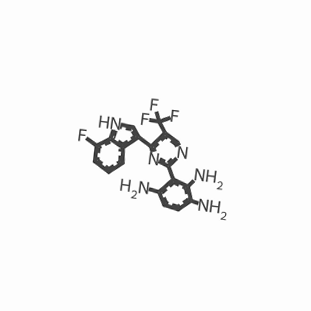 Nc1ccc(N)c(-c2ncc(C(F)(F)F)c(-c3c[nH]c4c(F)cccc34)n2)c1N